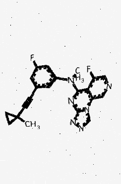 CN(c1cc(F)cc(C#CC2(C)CC2)c1)c1nc2nncn2c2cncc(F)c12